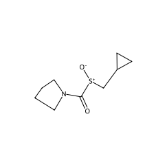 O=C(N1CCCC1)[S+]([O-])CC1CC1